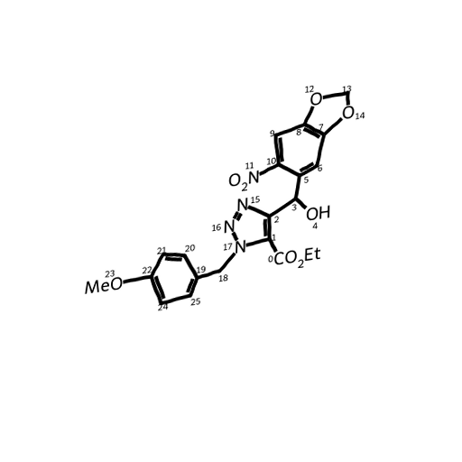 CCOC(=O)c1c(C(O)c2cc3c(cc2[N+](=O)[O-])OCO3)nnn1Cc1ccc(OC)cc1